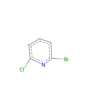 Clc1[c]ccc(Br)n1